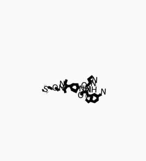 Cc1nn(COCCS(C)(C)C)c(C)c1-c1ccc(NC(=O)[C@@H](NC(=O)c2ccnn2C)[C@@H]2CCc3ccc(C#N)cc32)cc1